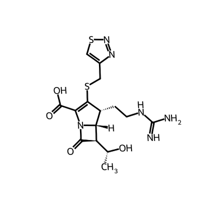 C[C@@H](O)[C@H]1C(=O)N2C(C(=O)O)=C(SCc3csnn3)[C@H](CCNC(=N)N)[C@H]12